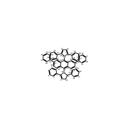 C1=C(c2ccccc2)N(c2c3ccc(-c4ccccc4)cc3c(-n3c(-c4ccccc4)ccc3-c3ccccc3)c3cc(-c4ccccc4)ccc23)C(c2ccccc2)C1